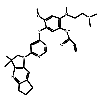 C=CC(=O)Nc1cc(Nc2cc(N3CC(C)(C)c4nc5c(cc43)CCC5)ncn2)c(OC)cc1N(C)CCN(C)C